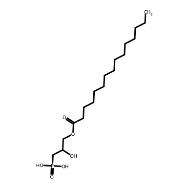 CCCCCCCCCCCCCCC(=O)OCC(O)CP(=O)(O)O